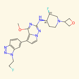 COc1nc(N[C@@H]2CCN(C3COC3)C[C@@H]2F)nn2ccc(-c3ccc4nnn(CCF)c4c3)c12